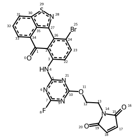 O=C1c2c(Nc3nc(F)nc(OCCN4C(=O)C=CC4=O)n3)ccc(Br)c2-c2nsc3cccc1c23